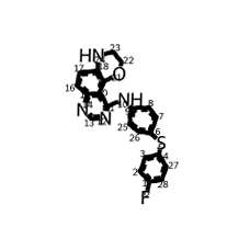 Fc1ccc(Sc2ccc(Nc3ncnc4ccc5c(c34)OCCN5)cc2)cc1